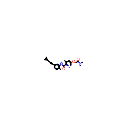 Cc1ccc(C#CC2CC2)cc1N(C)C(=O)c1ncc(OCC(=O)N(C)C)cc1C